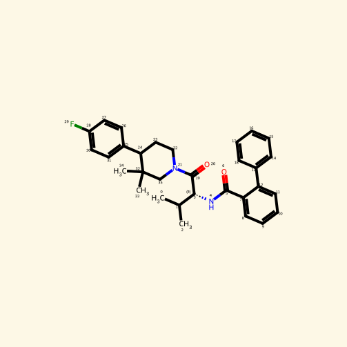 CC(C)[C@@H](NC(=O)c1ccccc1-c1ccccc1)C(=O)N1CCC(c2ccc(F)cc2)C(C)(C)C1